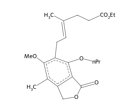 CCCOc1c(C/C=C(\C)CCC(=O)OCC)c(OC)c(C)c2c1C(=O)OC2